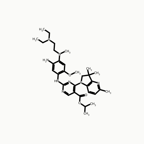 CCN(CC)CCN(C)c1cc(OC)c(Nc2ncc(C(=O)OC(C)C)c(N3CC(C)(C)c4nc(C)ccc43)n2)cc1N